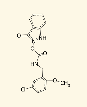 COc1ccc(Cl)cc1CNC(=O)On1[nH]c2ccccc2c1=O